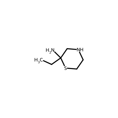 CCC1(N)CNCCS1